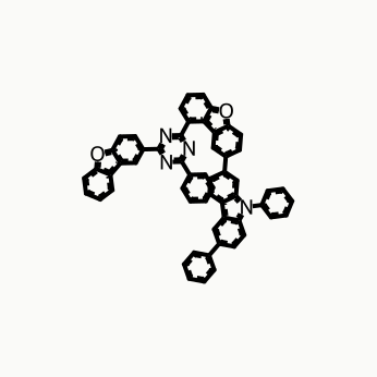 c1ccc(-c2ccc3c(c2)c2ccc(-c4ccc5oc6cccc(-c7nc(-c8ccccc8)nc(-c8ccc9oc%10ccccc%10c9c8)n7)c6c5c4)cc2n3-c2ccccc2)cc1